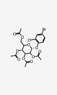 CC(=O)OCC1O[C@H](Oc2ccc(Br)cc2Cl)C(OC(C)=O)C(OC(C)=O)[C@H]1OC(C)=O